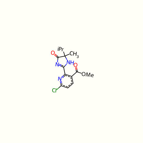 COC(=O)c1ccc(Cl)nc1C1=NC(=O)C(C)(C(C)C)N1